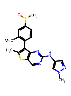 COc1cc([S+](C)[O-])ccc1-c1c(C)sc2cnc(Nc3cnn(C)c3)nc12